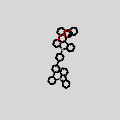 c1cc(-c2cccc3c2oc2ccccc23)cc(N(c2ccc(-c3ccc(-c4ccccc4-n4c5ccccc5c5ccccc54)cc3)cc2)c2ccccc2-c2cccc3ccccc23)c1